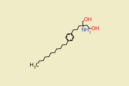 CCCCCCCCCCCc1ccc(CCCC(N)(CO)CCO)cc1